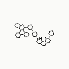 c1ccc(-c2ccc3ccc4ccc(-c5ccc(-c6cccc(-c7nc8ccccc8c8c9ccccc9c9ccccc9c78)c6)cc5)nc4c3n2)cc1